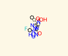 N#C[C@@H]1C(C2Cc3ccccc3C2)N(C(=O)O)CC[C@H]1n1cc(C(N)=O)c(Nc2ccc(F)cc2)n1